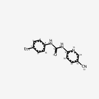 CCc1ccc(NC(=O)Nc2ccc(C#N)cn2)cc1